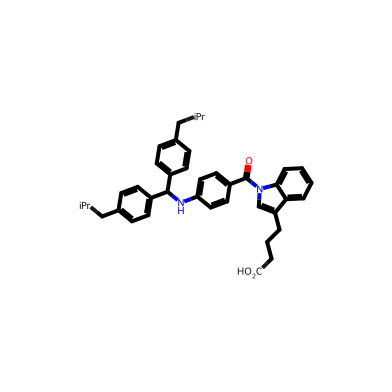 CC(C)Cc1ccc(C(Nc2ccc(C(=O)n3cc(CCCC(=O)O)c4ccccc43)cc2)c2ccc(CC(C)C)cc2)cc1